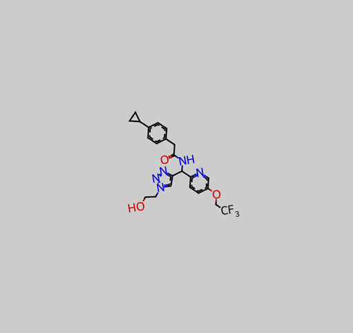 O=C(Cc1ccc(C2CC2)cc1)NC(c1ccc(OCC(F)(F)F)cn1)c1cn(CCO)nn1